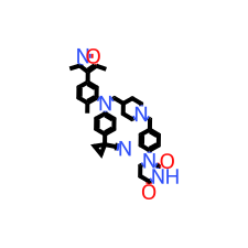 Cc1ccc(-c2c(C)noc2C)cc1N(CC1CCN(Cc2ccc(N3CCC(=O)NC3=O)cc2)CC1)c1ccc(C2(C#N)CC2)cc1